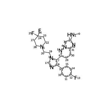 CNc1cn2nc(-c3c(-c4ccc(F)cc4)ncn3CCN3CCC(F)(F)CC3)ccc2n1